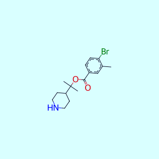 Cc1cc(C(=O)OC(C)(C)C2CCNCC2)ccc1Br